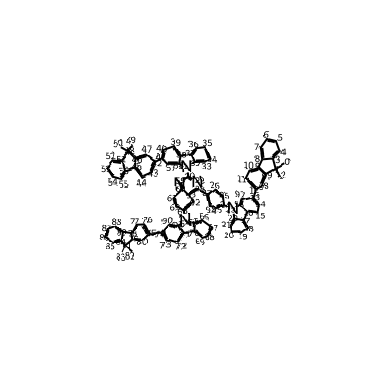 CC1(C)c2ccccc2-c2ccc(-c3ccc4c5ccccc5n(-c5ccc(-c6nc(-n7c8ccccc8c8ccc(-c9ccc%10c(c9)C(C)(C)c9ccccc9-%10)cc87)nc7ccc(-n8c9ccccc9c9ccc(-c%10ccc%11c(c%10)C(C)(C)c%10ccccc%10-%11)cc98)cc67)cc5)c4c3)cc21